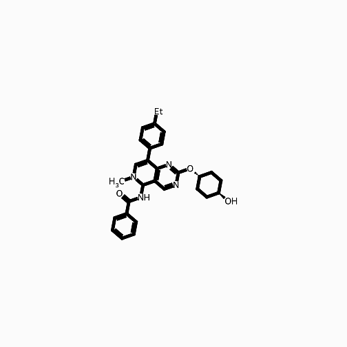 CCc1ccc(C2=CN(C)C(NC(=O)c3ccccc3)c3cnc(O[C@H]4CC[C@H](O)CC4)nc32)cc1